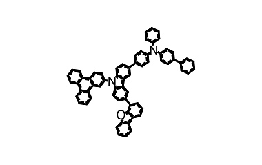 c1ccc(-c2ccc(N(c3ccccc3)c3ccc(-c4ccc5c(c4)c4cc(-c6cccc7c6oc6ccccc67)ccc4n5-c4ccc5c6ccccc6c6ccccc6c5c4)cc3)cc2)cc1